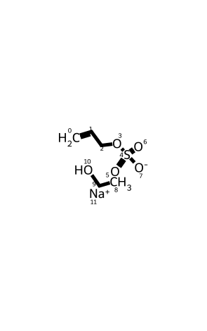 C=CCOS(=O)(=O)[O-].CCO.[Na+]